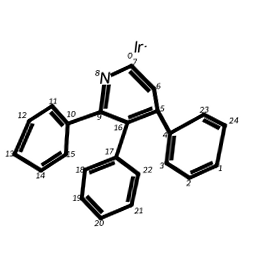 [Ir].c1ccc(-c2ccnc(-c3ccccc3)c2-c2ccccc2)cc1